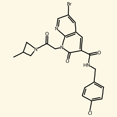 CC1CN(C(=O)Cn2c(=O)c(C(=O)NCc3ccc(Cl)cc3)cc3cc(Br)cnc32)C1